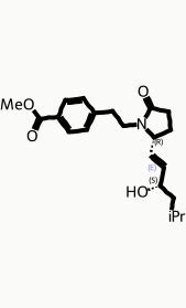 COC(=O)c1ccc(CCN2C(=O)CC[C@@H]2/C=C/[C@@H](O)CC(C)C)cc1